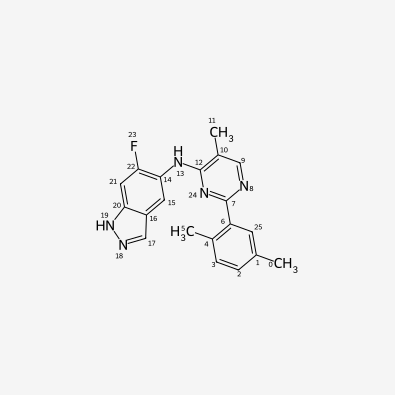 Cc1ccc(C)c(-c2ncc(C)c(Nc3cc4cn[nH]c4cc3F)n2)c1